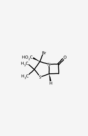 CC1(C)S[C@H]2CC(=O)N2[C@]1(Br)C(=O)O